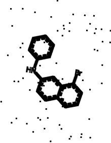 Brc1cccc2ccc(Nc3ccccc3)cc12